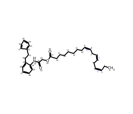 CC/C=C\C/C=C\C/C=C\CCCCCCCC(=O)OCC(=O)Nc1ccccc1CCc1ccccc1